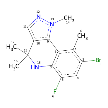 Cc1c(Br)cc(F)c2c1-c1c(cnn1C)C(C)(C)N2